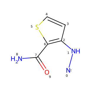 [N]Nc1ccsc1C(N)=O